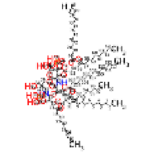 CCCCCCCCCCCCCC(=O)O[C@H](CCCCCCCCCCC)CC(=O)NCC(CO)(COC1OC(CO)C(OP(=O)(O)O)C(OC(=O)C[C@@H](CCCCCCCCCCC)OC(=O)CCCCCCCCCCCCC)C1NC(=O)C[C@@H](CCCCCCCCCCC)OC(=O)CCCCCCCCCCCCC)COP(=O)(O)O